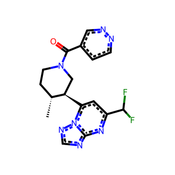 C[C@@H]1CCN(C(=O)c2ccnnc2)C[C@H]1c1cc(C(F)F)nc2ncnn12